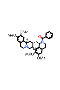 CC[C@H]1CN2CCc3cc(OC)c(OC)cc3[C@@H]2C[C@@H]1C[C@@H]1c2cc(OC)c(OC)cc2CCN1C(=O)c1ccccc1